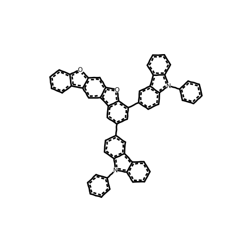 c1ccc(-n2c3ccccc3c3cc(-c4cc(-c5ccc6c(c5)c5ccccc5n6-c5ccccc5)c5oc6cc7oc8ccccc8c7cc6c5c4)ccc32)cc1